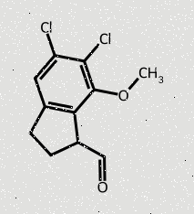 COc1c(Cl)c(Cl)cc2c1C(C=O)CC2